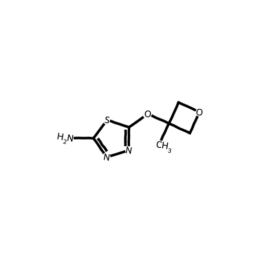 CC1(Oc2nnc(N)s2)COC1